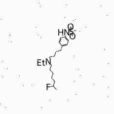 CCN(CCCCCC(C)F)CCCCc1ccc(NS(C)(=O)=O)cc1